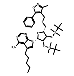 CCCCCc1cn([C@@H]2O[C@H](CSCc3c(C)noc3-c3ccccc3)[C@@H](O[Si](C)(C)C(C)(C)C)[C@H]2O[Si](C)(C)C(C)(C)C)c2ncnc(N)c12